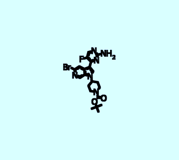 CC(C)(C)OC(=O)N1CCC(n2cc(-c3nc(N)ncc3F)c3cc(Br)ncc32)CC1